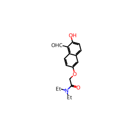 CCN(CC)C(=O)COc1ccc2c(C=O)c(O)ccc2c1